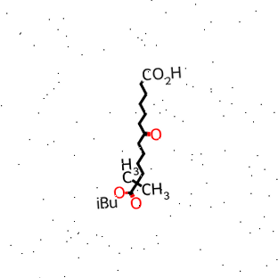 CCC(C)OC(=O)C(C)(C)CCCCC(=O)CCCCCC(=O)O